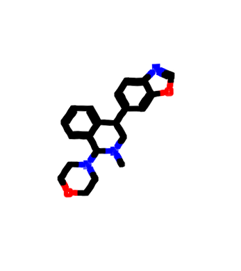 CN1CC(c2ccc3ncoc3c2)c2ccccc2C1N1CCOCC1